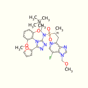 COCn1cnc2c(C[C@@H](C)S(=O)(=O)N(CC[Si](C)(C)C)c3nnc(-c4ccco4)n3-c3c(OC)cccc3OC)ncc(F)c21